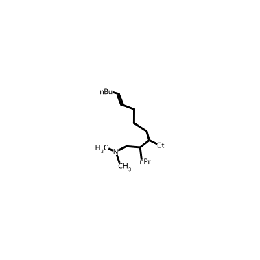 CCCC/C=C/CCCC(CC)C(CCC)CN(C)C